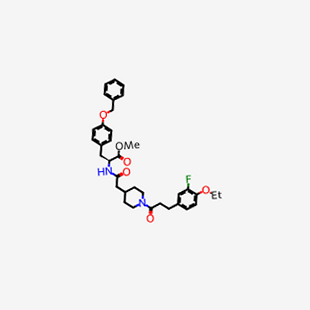 CCOc1ccc(CCC(=O)N2CCC(CC(=O)N[C@@H](Cc3ccc(OCc4ccccc4)cc3)C(=O)OC)CC2)cc1F